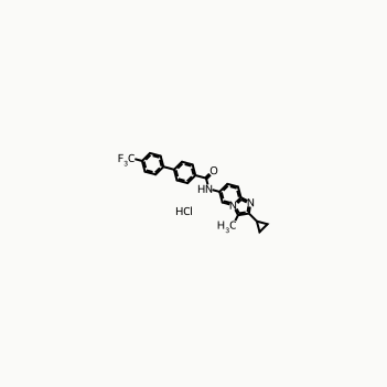 Cc1c(C2CC2)nc2ccc(NC(=O)c3ccc(-c4ccc(C(F)(F)F)cc4)cc3)cn12.Cl